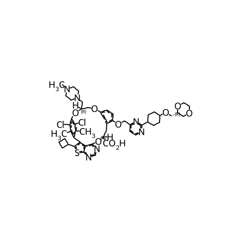 Cc1c(Cl)c2c(Cl)c(C)c1-c1c(C3CCC3)sc3ncnc(c13)O[C@@H](C(=O)O)Cc1cc(ccc1OCc1ccnc(C3CCC(OC[C@H]4COCCO4)CC3)n1)OC[C@@H](CN1CCN(C)CC1)O2